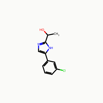 CC(O)c1ncc(-c2cccc(Cl)c2)[nH]1